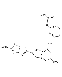 CNC(=O)Oc1cccc(COc2cc(OC)cc3oc(-c4cn5nc(OC)sc5n4)cc23)c1